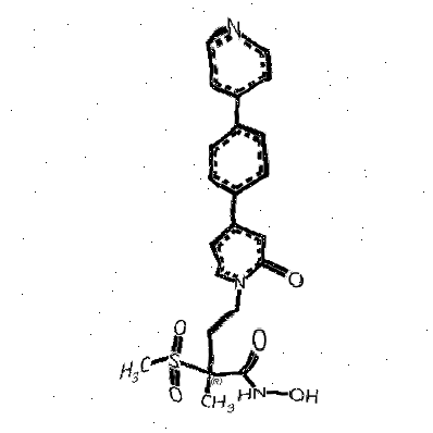 C[C@@](CCn1ccc(-c2ccc(-c3ccncc3)cc2)cc1=O)(C(=O)NO)S(C)(=O)=O